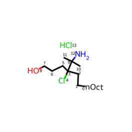 CCCCCCCCCCC(Cl)(CCCO)C(C)(C)N.Cl